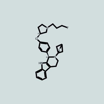 FCCCN1CC[C@H](Oc2ccc([C@@H]3c4[nH]c5ccccc5c4CCN3C34CC(C3)C4)cc2)C1